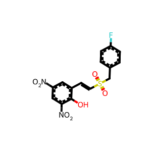 O=[N+]([O-])c1cc(C=CS(=O)(=O)Cc2ccc(F)cc2)c(O)c([N+](=O)[O-])c1